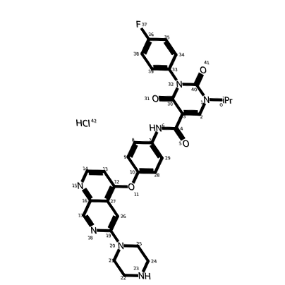 CC(C)n1cc(C(=O)Nc2ccc(Oc3ccnc4cnc(N5CCNCC5)cc34)cc2)c(=O)n(-c2ccc(F)cc2)c1=O.Cl